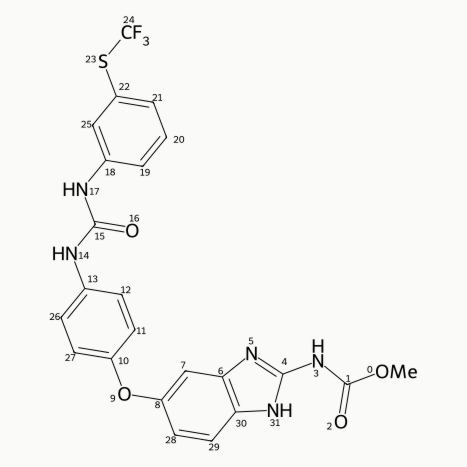 COC(=O)Nc1nc2cc(Oc3ccc(NC(=O)Nc4cccc(SC(F)(F)F)c4)cc3)ccc2[nH]1